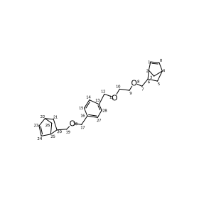 C1=CC2CC1CC2COCCOCc1ccc(COCC2CC3C=CC2C3)cc1